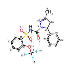 CC1=NN(C(=O)NS(=O)(=O)c2ccccc2OC(F)(F)F)C(c2ccccc2)C1